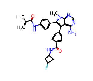 C=C(C)C(=O)Nc1ccc(-c2c(-c3ccc(C(=O)NC4CC(F)C4)cc3)c3c(N)ncnc3n2C)cc1